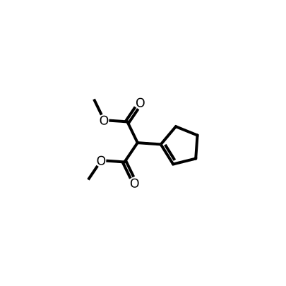 COC(=O)C(C(=O)OC)C1=CCCC1